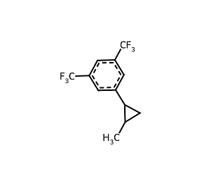 CC1CC1c1cc(C(F)(F)F)cc(C(F)(F)F)c1